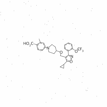 Cc1cc(N2CCC(OCc3c(-c4ccccc4OC(F)(F)F)noc3C3CC3)CC2)ccc1C(=O)O